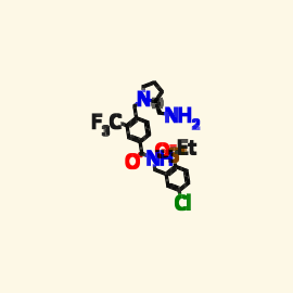 CC[S+]([O-])c1ccc(Cl)cc1CNC(=O)c1ccc(CN2CCC[C@H]2CN)c(C(F)(F)F)c1